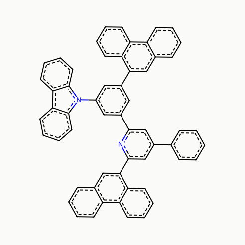 c1ccc(-c2cc(-c3cc(-c4cc5ccccc5c5ccccc45)cc(-n4c5ccccc5c5ccccc54)c3)nc(-c3cc4ccccc4c4ccccc34)c2)cc1